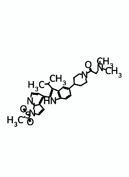 CC(C)c1c(-c2ccnc3c2ccn3S(C)(=O)=O)[nH]c2ccc(C3CCN(C(=O)CN(C)C)CC3)cc12